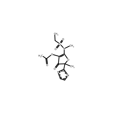 CCS(=O)(=O)N(C)C1=C(OC(C)=O)C(=O)C(C)(c2nccs2)O1